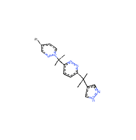 CC(C)c1cc[n+](C(C)(C)c2ccc(C(C)(C)c3cn[nH]c3)nn2)nc1